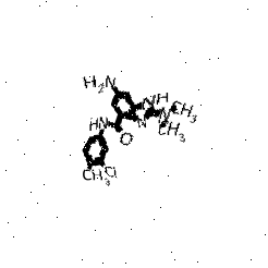 Cc1ccc(NC(=O)c2cc(N)cc3[nH]c(N(C)C)nc23)cc1Cl